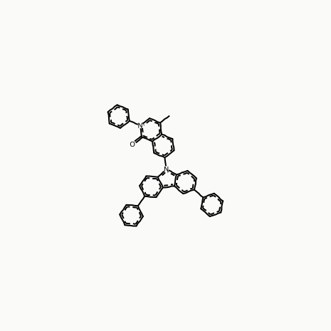 Cc1cn(-c2ccccc2)c(=O)c2cc(-n3c4ccc(-c5ccccc5)cc4c4cc(-c5ccccc5)ccc43)ccc12